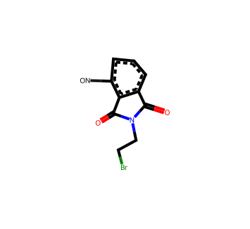 O=Nc1cccc2c1C(=O)N(CCBr)C2=O